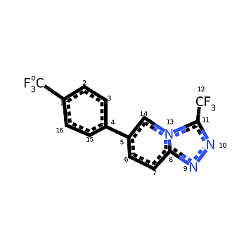 FC(F)(F)c1ccc(-c2ccc3nnc(C(F)(F)F)n3c2)cc1